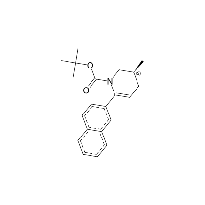 C[C@H]1CC=C(c2ccc3ccccc3c2)N(C(=O)OC(C)(C)C)C1